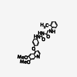 COc1cc2nccc(Oc3ccc(NC(=O)NC(=O)CNc4ccccc4C)cc3)c2cc1OC